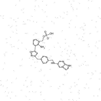 Nc1c(-c2cc(Cc3ccc(CNc4cnc5[nH]ccc5c4)cc3)no2)ccc[n+]1COP(=O)([O-])O